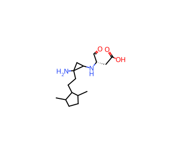 CC1CCC(C)C1CCC1(N)CC1N[C@H](C=O)CC(=O)O